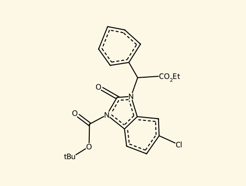 CCOC(=O)C(c1ccccc1)n1c(=O)n(C(=O)OC(C)(C)C)c2ccc(Cl)cc21